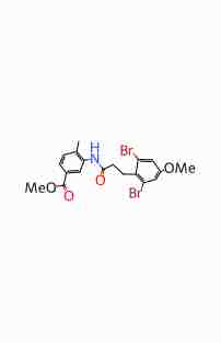 COC(=O)c1ccc(C)c(NC(=O)CCc2c(Br)cc(OC)cc2Br)c1